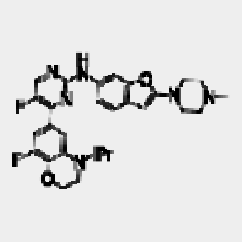 CC(C)N1CCOc2c(F)cc(-c3nc(Nc4ccc5cc(N6CCN(C)CC6)oc5c4)ncc3F)cc21